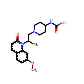 COc1ccc2ccc(=O)n(C(C)CN3CCC(NC(=O)O)CC3)c2c1